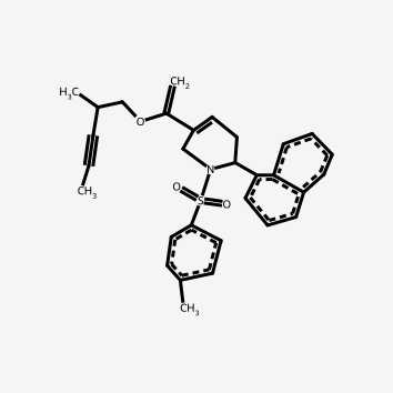 C=C(OCC(C)C#CC)C1=CCC(c2cccc3ccccc23)N(S(=O)(=O)c2ccc(C)cc2)C1